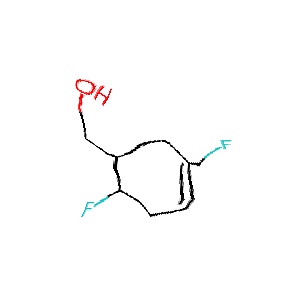 OCC1CC(F)=CCC1F